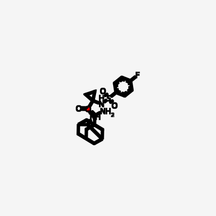 NC(=O)C12CC3CC(C1)C(NC(=O)C1(NS(=O)(=O)c4ccc(F)cc4)CC1)C(C3)C2